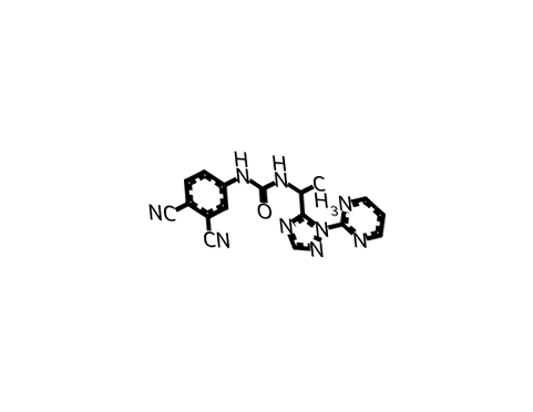 CC(NC(=O)Nc1ccc(C#N)c(C#N)c1)c1ncnn1-c1ncccn1